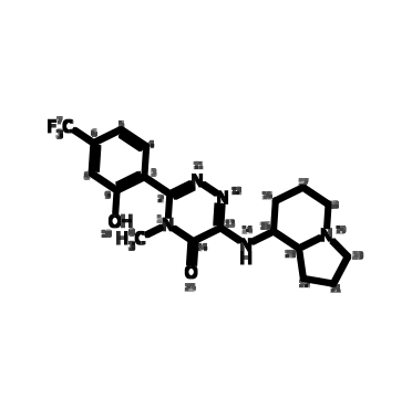 Cn1c(-c2ccc(C(F)(F)F)cc2O)nnc(NC2CCCN3CCCC23)c1=O